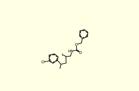 CC(CC(I)CNC(=O)OCc1ccccc1)c1cccc(Cl)c1